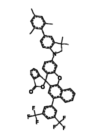 Cc1cc(C)c(-c2ccc3c(c2)C(C)(C)CN3c2ccc3c(c2)Oc2c(cc(-c4cc(C(F)(F)F)cc(C(F)(F)F)c4)c4ccccc24)C32OC(=O)c3ccccc32)c(C)c1